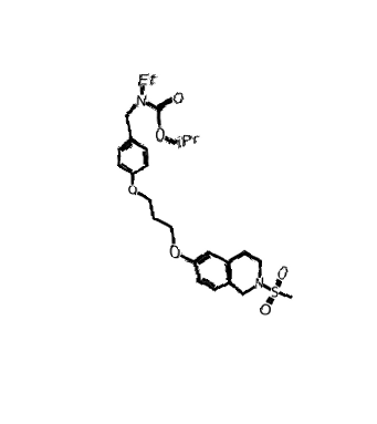 CCN(Cc1ccc(OCCCOc2ccc3c(c2)CCN(S(C)(=O)=O)C3)cc1)C(=O)OC(C)C